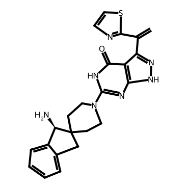 C=C(c1nccs1)c1n[nH]c2nc(N3CCC4(CC3)Cc3ccccc3[C@H]4N)[nH]c(=O)c12